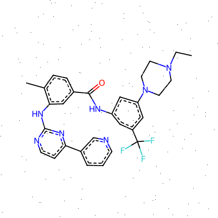 CCN1CCN(c2cc(NC(=O)c3ccc(C)c(Nc4nccc(-c5cccnc5)n4)c3)cc(C(F)(F)F)c2)CC1